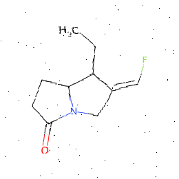 CCC1/C(=C\F)CN2C(=O)CCC12